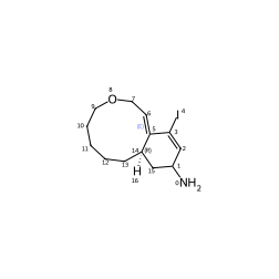 NC1C=C(I)/C2=C/COCCCCC[C@@H]2C1